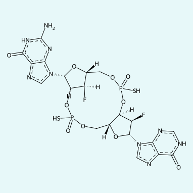 Nc1nc2c(ncn2[C@@H]2O[C@@H]3COP(=O)(S)O[C@H]4[C@@H](F)[C@H](n5cnc6c(=O)[nH]cnc65)O[C@@H]4COP(=O)(S)O[C@@H]2[C@@H]3F)c(=O)[nH]1